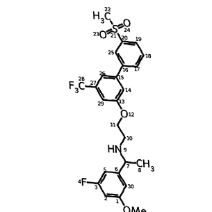 COc1cc(F)cc(C(C)NCCOc2cc(-c3cccc(S(C)(=O)=O)c3)cc(C(F)(F)F)c2)c1